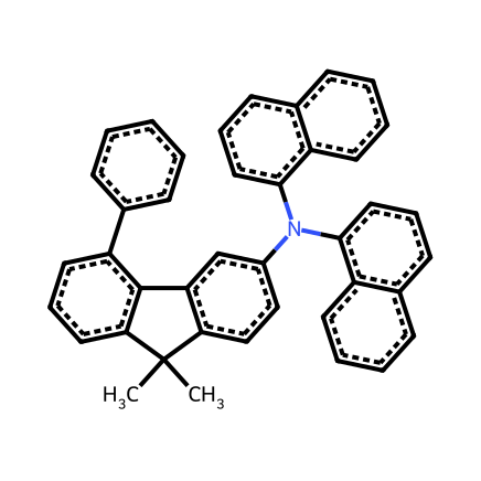 CC1(C)c2ccc(N(c3cccc4ccccc34)c3cccc4ccccc34)cc2-c2c(-c3ccccc3)cccc21